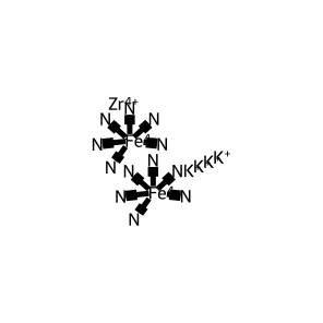 N#[C][Fe-4]([C]#N)([C]#N)([C]#N)([C]#N)[C]#N.N#[C][Fe-4]([C]#N)([C]#N)([C]#N)([C]#N)[C]#N.[K+].[K+].[K+].[K+].[Zr+4]